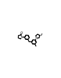 Cc1cc(Cc2cccc(N3CCCC3=O)c2)cc(N2CC[C@H](F)C2)c1